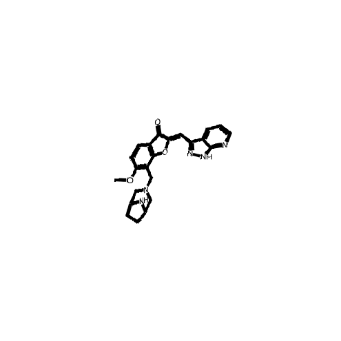 COc1ccc2c(c1CN1CC3CCC(C1)N3)O/C(=C\c1n[nH]c3ncccc13)C2=O